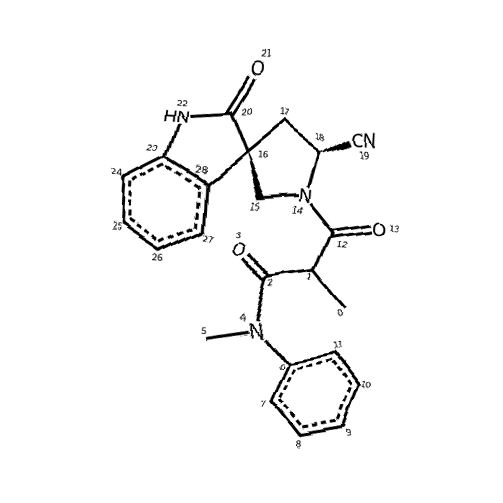 CC(C(=O)N(C)c1ccccc1)C(=O)N1C[C@]2(C[C@H]1C#N)C(=O)Nc1ccccc12